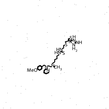 COc1ccc(CN(CCN(C)CCCCCCNC(=S)NCCSCc2csc(NC(=N)N)n2)c2ccccn2)cc1